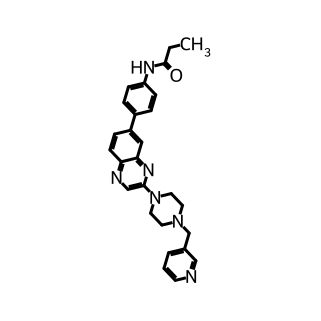 CCC(=O)Nc1ccc(-c2ccc3ncc(N4CCN(Cc5cccnc5)CC4)nc3c2)cc1